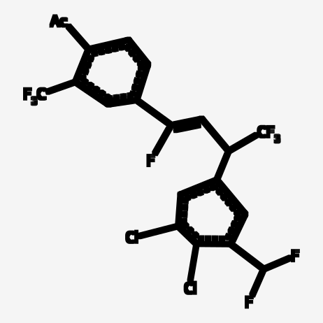 CC(=O)c1ccc(/C(F)=C/C(c2cc(Cl)c(Cl)c(C(F)F)c2)C(F)(F)F)cc1C(F)(F)F